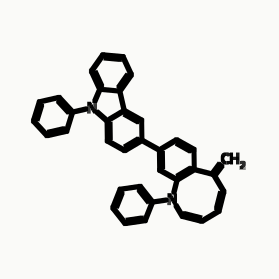 C=C1/C=C\C=C/N(c2ccccc2)c2cc(-c3ccc4c(c3)c3ccccc3n4-c3ccccc3)ccc21